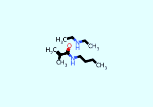 C=C(C)C(=O)NCCCC.CCNCC